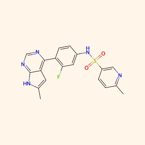 Cc1ccc(S(=O)(=O)Nc2ccc(-c3ncnc4[nH]c(C)cc34)c(F)c2)cn1